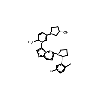 CC1C=CC(N2CC[C@H](O)C2)=CN1c1cnc2ccc(N3CCC[C@@H]3c3cc(F)ccc3F)nn12